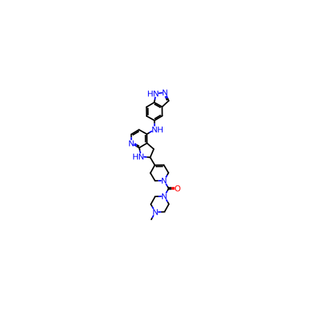 CN1CCN(C(=O)N2CC=C(C3Cc4c(Nc5ccc6[nH]ncc6c5)ccnc4N3)CC2)CC1